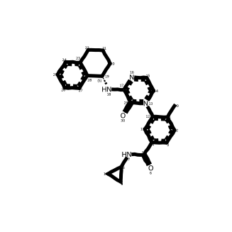 Cc1ccc(C(=O)NC2CC2)cc1-n1ccnc(N[C@H]2CCCc3ccccc32)c1=O